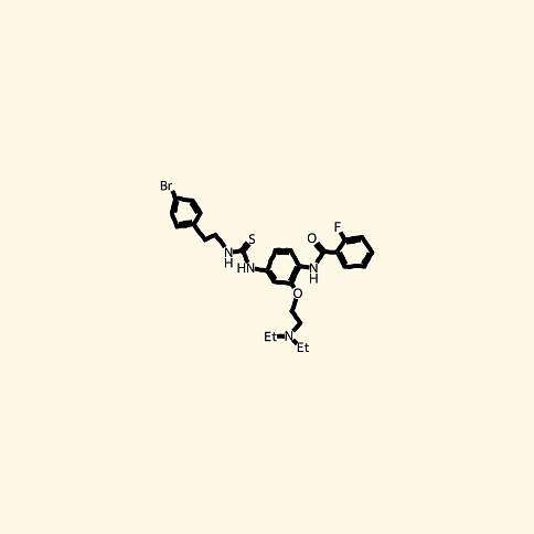 CCN(CC)CCOc1cc(NC(=S)NCCc2ccc(Br)cc2)ccc1NC(=O)c1ccccc1F